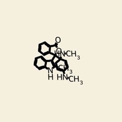 CNC1=CCC(NC)(C2(c3c(C)[nH]c4ccccc34)OC(=O)c3ccccc32)C=C1